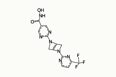 O=C(NO)c1cnc(N2CC3=C2CN3c2nccc(C(F)(F)F)n2)nc1